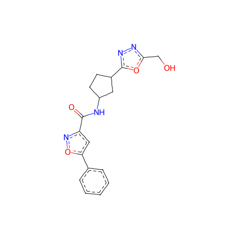 O=C(NC1CCC(c2nnc(CO)o2)C1)c1cc(-c2ccccc2)on1